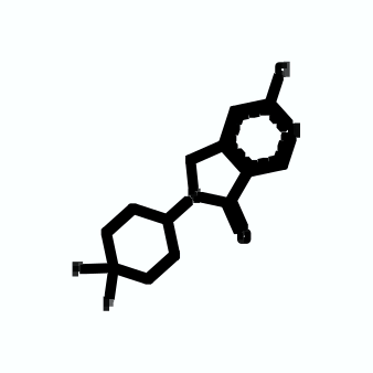 O=C1c2cnc(Cl)cc2CN1C1CCC(F)(F)CC1